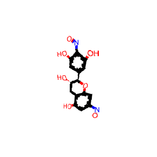 O=Nc1cc(O)c2c(c1)O[C@H](c1cc(O)c(N=O)c(O)c1)[C@@H](O)C2